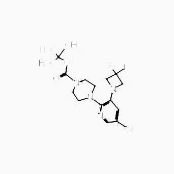 CC(C)(C)OC(=O)N1CCN(c2ncc(Br)cc2N2CC(F)(F)C2)CC1